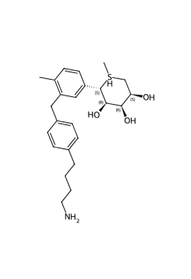 Cc1ccc([C@H]2[C@H](O)[C@H](O)[C@H](O)C[SH]2C)cc1Cc1ccc(CCCCN)cc1